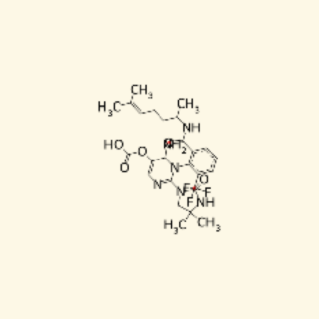 CC(C)=CCCC(C)NC(=O)c1cccc(C(F)(F)F)c1N1C(N2CC(C)(C)NC2=O)=NC=C(OC(=O)O)C1N